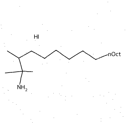 CCCCCCCCCCCCCCC(C)C(C)(C)N.I